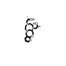 C[C@H](O)CN1CCN2Cc3cccnc3OCC(C2)N(C[C@H](C)O)CC1